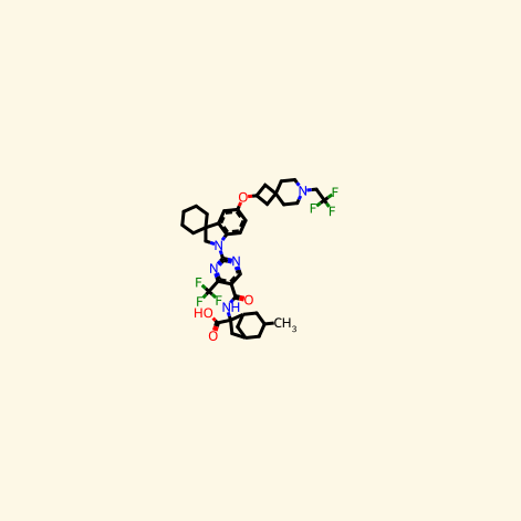 CC1CC2CC(C1)C(NC(=O)c1cnc(N3CC4(CCCCC4)c4cc(OC5CC6(CCN(CC(F)(F)F)CC6)C5)ccc43)nc1C(F)(F)F)(C(=O)O)C2